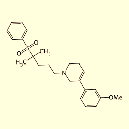 COc1cccc(C2=CCCN(CCCC(C)(C)S(=O)(=O)c3ccccc3)C2)c1